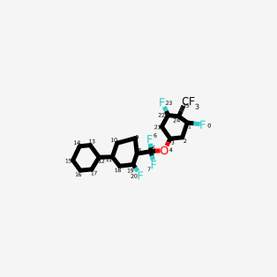 FC1CC(OC(F)(F)C2CCC(C3CCCCC3)CC2F)CC(F)C1C(F)(F)F